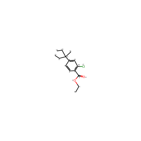 CCOC(=O)c1ccc(C(C)(CC)CC)cc1Cl